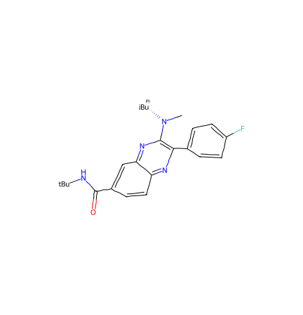 CC[C@@H](C)N(C)c1nc2cc(C(=O)NC(C)(C)C)ccc2nc1-c1ccc(F)cc1